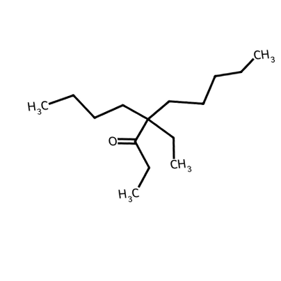 CCCCCC(CC)(CCCC)C(=O)CC